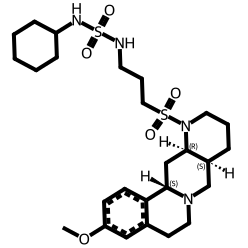 COc1ccc2c(c1)CCN1C[C@@H]3CCCN(S(=O)(=O)CCCNS(=O)(=O)NC4CCCCC4)[C@@H]3C[C@@H]21